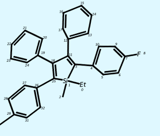 CC[Si]1(C)C(c2ccc(F)cc2)=C(c2ccccc2)C(c2ccccc2)=C1c1ccc(F)cc1